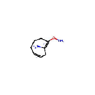 NO/C1=C(/N)C/C=C\CCC1